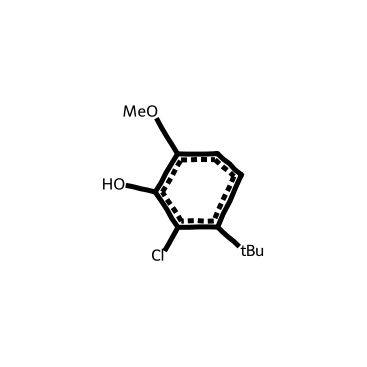 COc1ccc(C(C)(C)C)c(Cl)c1O